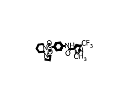 Cn1nc(C(F)(F)F)cc1C(=O)Nc1ccc(S(=O)(=O)N2CCCCC2N2CCC2)cc1